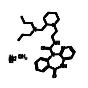 CCCN(CCC)CC1CCCCN1CCNC(=O)N1c2ccccc2C(=O)Nc2cccnc21.Cl.Cl.O